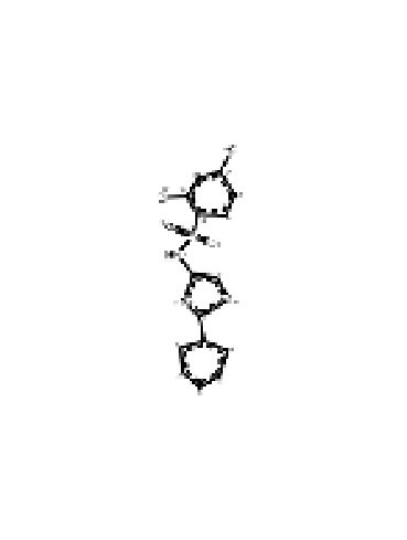 O=S(=O)(Nc1csc(-c2ccccc2)n1)c1ccc(Cl)cc1Cl